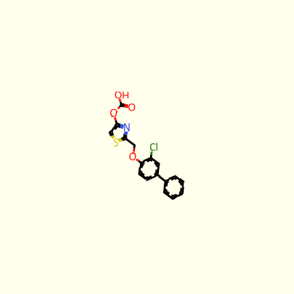 O=C(O)Oc1csc(COc2ccc(-c3ccccc3)cc2Cl)n1